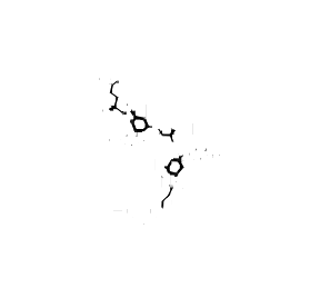 C=C(COc1c(OC)cc2sc(C(=O)CCC(=O)O)nc2c1F)COc1c(OC)cc2sc(C(=O)CCC(=O)I)nc2c1F